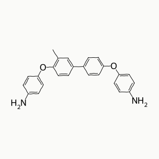 Cc1cc(-c2ccc(Oc3ccc(N)cc3)cc2)ccc1Oc1ccc(N)cc1